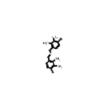 Cc1c(Br)ccc(CSCc2ccc(Br)c(C)c2C)c1C